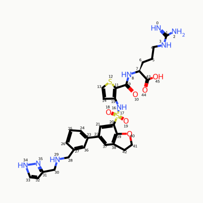 N=C(N)NCCC[C@H](NC(=O)c1sccc1NS(=O)(=O)c1cc(-c2cccc(CNCc3cc[nH]n3)c2)cc2c1OCC2)C(=O)O